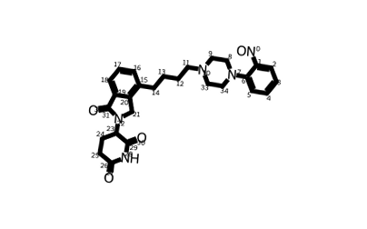 O=Nc1ccccc1N1CCN(CCCCc2cccc3c2CN(C2CCC(=O)NC2=O)C3=O)CC1